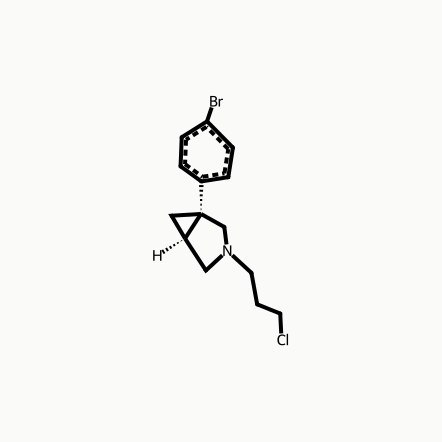 ClCCCN1C[C@H]2C[C@@]2(c2ccc(Br)cc2)C1